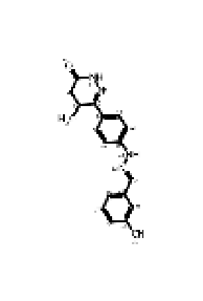 CC1CC(=O)NN=C1c1ccc(NN=Cc2cccc(C#N)c2)cc1